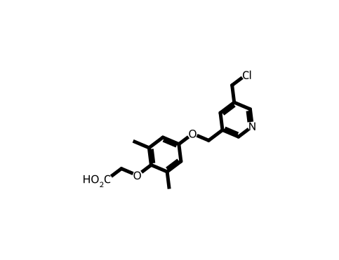 Cc1cc(OCc2cncc(CCl)c2)cc(C)c1OCC(=O)O